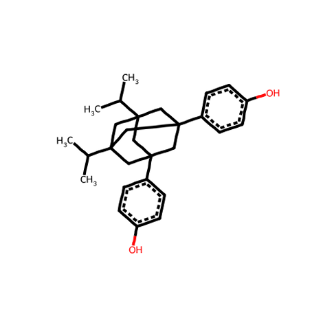 CC(C)C12CC3(c4ccc(O)cc4)CC(c4ccc(O)cc4)(C1)CC(C(C)C)(C3)C2